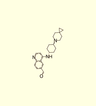 O=Cc1ccc2nccc(N[C@H]3CC[C@H](N4CCC5(CC4)CC5)CC3)c2c1